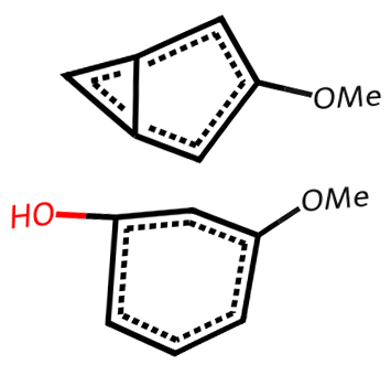 COc1cc2cc-2c1.COc1cccc(O)c1